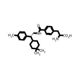 Cc1ccc([C@H](CNC(=O)c2ccc(CC(N)C(=O)O)cc2)C2CCC(C)(C)CC2)cc1